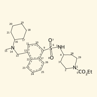 CCOC(=O)N1CCC(NS(=O)(=O)c2ccc(CN(C)C3CCCCC3)c3ccccc23)CC1